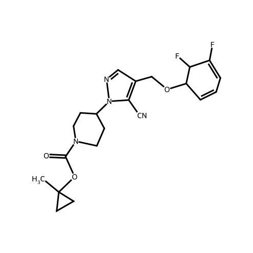 CC1(OC(=O)N2CCC(n3ncc(COC4C=CC=C(F)C4F)c3C#N)CC2)CC1